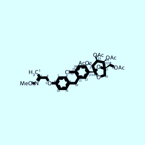 CON=C(C)COc1ccc(Cc2cc([C@]34OC[C@](COC(C)=O)(O3)[C@@H](OC(C)=O)[C@H](OC(C)=O)[C@H]4OC(C)=O)ccc2Cl)cc1